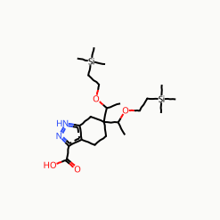 CC(OCC[Si](C)(C)C)C1(C(C)OCC[Si](C)(C)C)CCc2c(C(=O)O)n[nH]c2C1